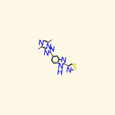 Cc1ncc(C)n2nc(-c3ccc4[nH]c(-c5cscn5)nc4c3)nc12